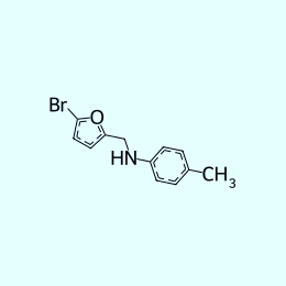 Cc1ccc(NCc2ccc(Br)o2)cc1